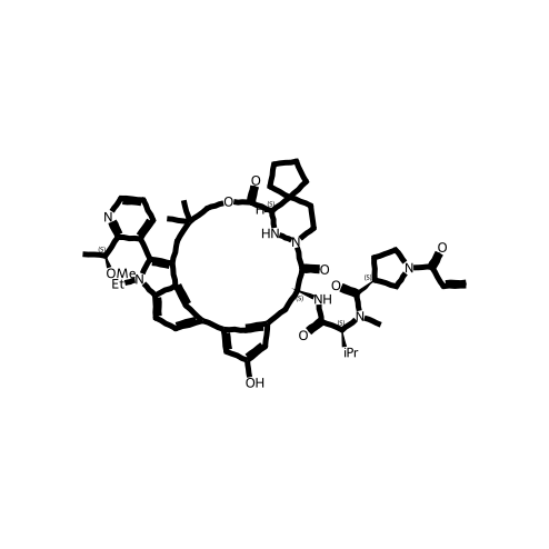 C=CC(=O)N1CC[C@H](C(=O)N(C)[C@H](C(=O)N[C@H]2Cc3cc(O)cc(c3)-c3ccc4c(c3)c(c(-c3cccnc3[C@H](C)OC)n4CC)CC(C)(C)COC(=O)[C@H]3NN(CCC34CCCC4)C2=O)C(C)C)C1